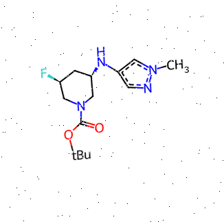 Cn1cc(N[C@@H]2C[C@H](F)CN(C(=O)OC(C)(C)C)C2)cn1